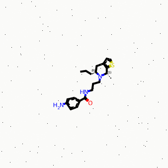 CCC[C@@H]1Cc2ccsc2[C@H](C)N1CCCNC(=O)c1ccc(N)cc1